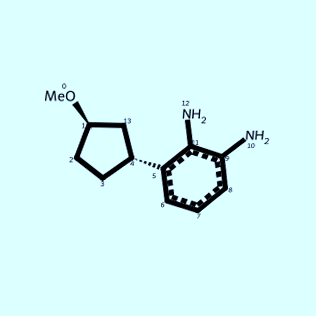 CO[C@@H]1CC[C@@H](c2cccc(N)c2N)C1